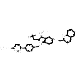 CCC(CC)(Cc1c(SC(C)(C)C)c2cc(OCc3ccc4ccccc4n3)ccc2n1Cc1ccc(-c2ccc(OC)nn2)cc1)C(=O)O